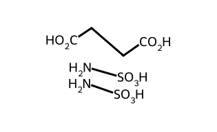 NS(=O)(=O)O.NS(=O)(=O)O.O=C(O)CCC(=O)O